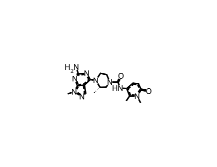 Cc1c(NC(=O)N2CCN(c3nc(N)nc4c3cnn4C)[C@@H](C)C2)ccc(=O)n1C